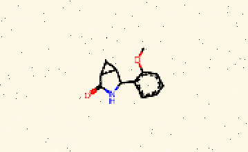 COc1ccccc1C1NC(=O)C2CC21